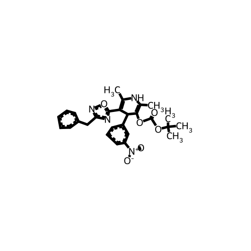 CC1=C(OC(=O)OC(C)(C)C)C(c2cccc([N+](=O)[O-])c2)C(c2nc(Cc3ccccc3)no2)=C(C)N1